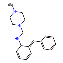 CCCCN1CCN(CNC2C=CC=CC2=Cc2ccccc2)CC1